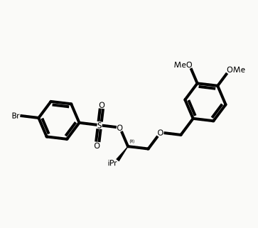 COc1ccc(COC[C@H](OS(=O)(=O)c2ccc(Br)cc2)C(C)C)cc1OC